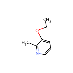 CCOc1cccnc1C